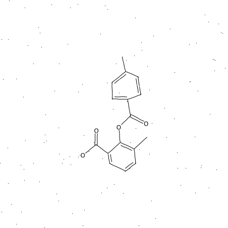 Cc1ccc(C(=O)Oc2c(C)cccc2C([O])=O)cc1